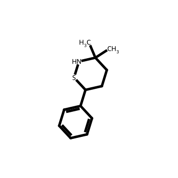 CC1(C)CCC(c2ccccc2)SN1